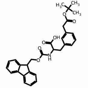 CC(C)(C)OC(=O)Cc1cccc(CC(NC(=O)OCC2c3ccccc3-c3ccccc32)C(=O)O)c1